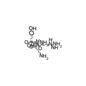 N=C(N)NCCC[C@H](N)C(=O)N[C@@H](CCCCN)C(=O)N[C@@H](CCc1ccc(O)cc1)C(=O)O